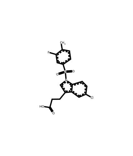 Cc1ccc(S(=O)(=O)n2cc(CCC(=O)O)c3cc(Cl)ccc32)cc1F